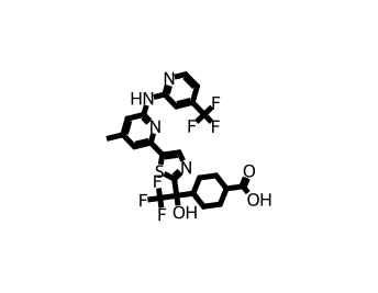 Cc1cc(Nc2cc(C(F)(F)F)ccn2)nc(-c2cnc(C(O)(C3CCC(C(=O)O)CC3)C(F)(F)F)s2)c1